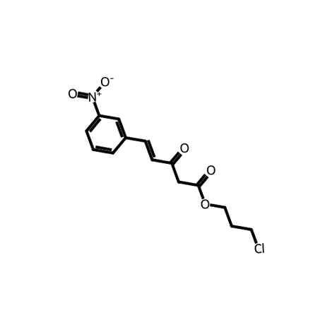 O=C(C=Cc1cccc([N+](=O)[O-])c1)CC(=O)OCCCCl